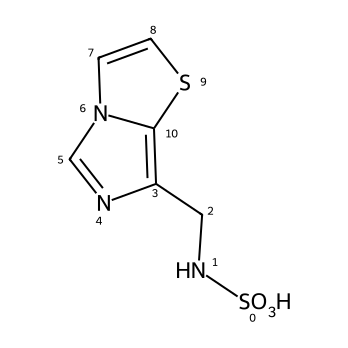 O=S(=O)(O)NCc1ncn2ccsc12